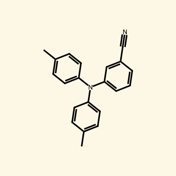 Cc1ccc(N(c2ccc(C)cc2)c2cccc(C#N)c2)cc1